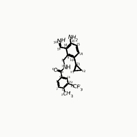 Cc1ccc(C(=O)NCc2c(C3CC3)ccc(N)c2C=N)cc1C(F)(F)F